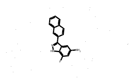 Nc1cc(F)c2[nH]nc(-c3ccc4ccccc4c3)c2c1